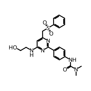 CN(C)C(=O)Nc1ccc(-c2nc(CS(=O)(=O)c3ccccc3)cc(NCCO)n2)cc1